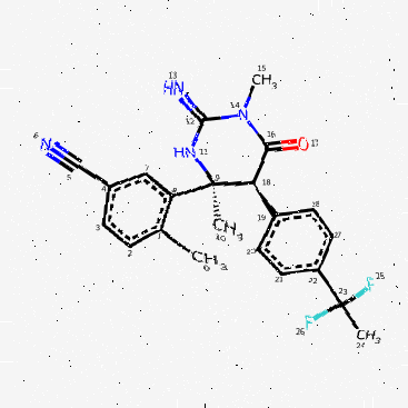 Cc1ccc(C#N)cc1[C@@]1(C)NC(=N)N(C)C(=O)[C@H]1c1ccc(C(C)(F)F)cc1